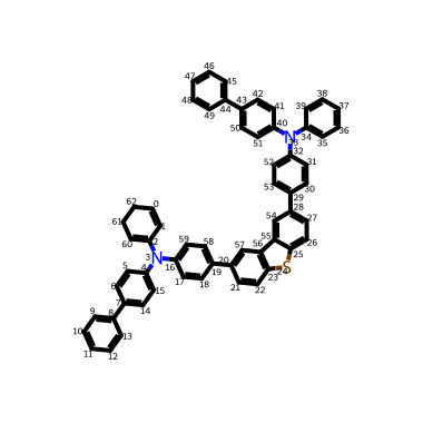 C1=CC(N(c2ccc(-c3ccccc3)cc2)c2ccc(-c3ccc4sc5ccc(-c6ccc(N(c7ccccc7)c7ccc(-c8ccccc8)cc7)cc6)cc5c4c3)cc2)=CCC1